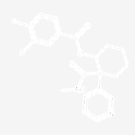 CNC(=S)C1(c2cccnc2)CCCCC1OC(=O)c1ccc(F)c(F)c1